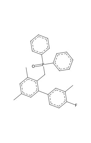 Cc1cc(C)c(CP(=O)(c2ccccc2)c2ccccc2)c(-c2ccc(F)c(C)c2)c1